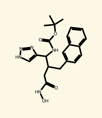 CC(C)(C)OC(=O)NC(c1c[nH]nn1)C(CC(=O)NO)Cc1ccc2ccccc2c1